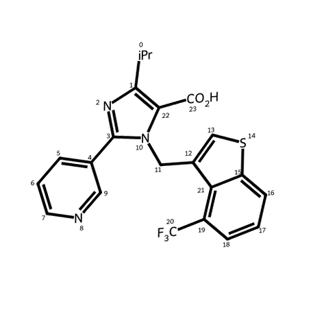 CC(C)c1nc(-c2cccnc2)n(Cc2csc3cccc(C(F)(F)F)c23)c1C(=O)O